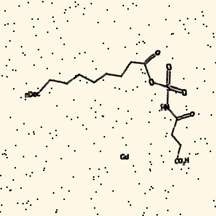 CCCCCCCCCCCCCCCCCC(=O)OS(=O)(=O)NC(=O)CCC(=O)O.[Gd]